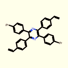 C=Cc1ccc(-c2nc(-c3ccc(C(C)C)cc3)c(-c3ccc(C=C)cc3)nc2-c2ccc(C(C)C)cc2)cc1